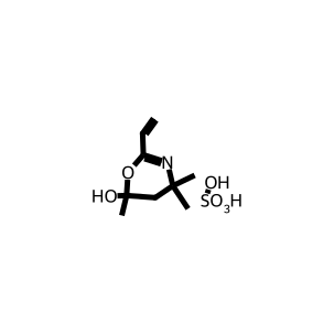 C=CC1=NC(C)(C)CC(C)(O)O1.O=S(=O)(O)O